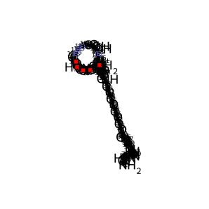 CO[C@H]1C[C@@H]2CC[C@@H](C)[C@@](O)(O2)C(=O)C(=O)N2CCCC[C@H]2C(=O)O[C@H]([C@H](N)C[C@@H]2CC[C@@H](OC(=O)NCCOCCOCCOCCOCCOCCOCCOCCOCCC(=O)N3CCc4cc(Cn5nc(-c6ccc7oc(N)nc7c6)c6c(N)ncnc65)ccc4C3)[C@H](OC)C2)CC(N=[N+]=[N-])[C@H](C)/C=C(\C)[C@@H](O)[C@@H](O)C(=O)[C@H](C)C[C@H](C)/C=C/C=C/C=C/1C